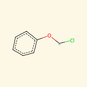 Cl[C]Oc1ccccc1